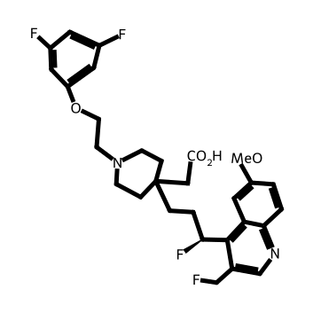 COc1ccc2ncc(CF)c([C@@H](F)CCC3(CC(=O)O)CCN(CCOc4cc(F)cc(F)c4)CC3)c2c1